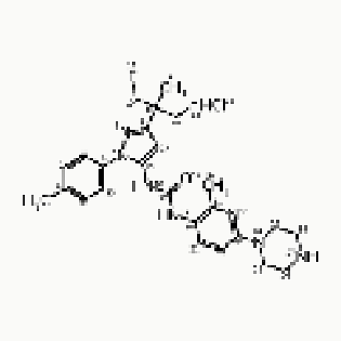 Cc1ccc(-n2nc(C(C)(CF)CF)cc2NC(=O)Nc2ccc(N3CCNCC3)nc2C)cc1.Cl